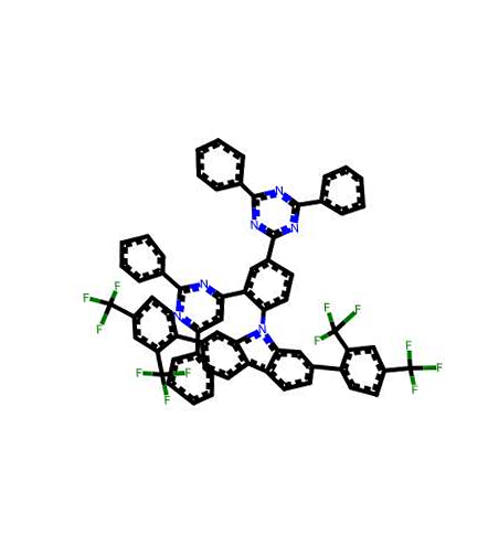 FC(F)(F)c1ccc(-c2ccc3c4ccc(-c5ccc(C(F)(F)F)cc5C(F)(F)F)cc4n(-c4ccc(-c5nc(-c6ccccc6)nc(-c6ccccc6)n5)cc4-c4cc(-c5ccccc5)nc(-c5ccccc5)n4)c3c2)c(C(F)(F)F)c1